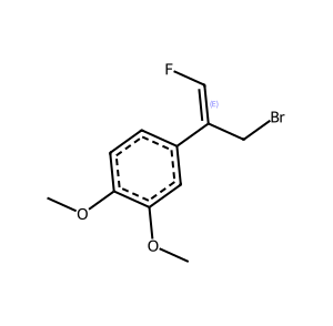 COc1ccc(/C(=C\F)CBr)cc1OC